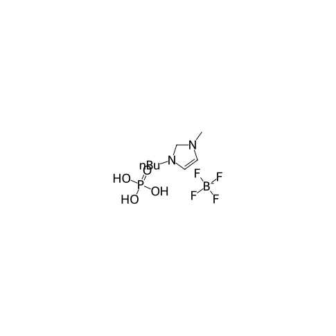 CCCCN1C=CN(C)C1.F[B-](F)(F)F.O=P(O)(O)O